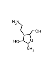 BC1OC(CO)C(CCN)C1O